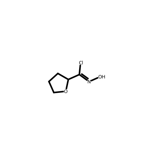 ON=C(Cl)C1CCCO1